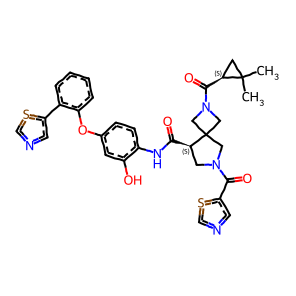 CC1(C)C[C@@H]1C(=O)N1CC2(CN(C(=O)c3cncs3)C[C@H]2C(=O)Nc2ccc(Oc3ccccc3-c3cncs3)cc2O)C1